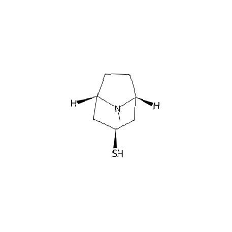 CN1[C@@H]2CC[C@H]1C[C@H](S)C2